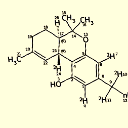 [2H]c1c(O)c2c(c([2H])c1C([2H])([2H])CCCC)OC(C)(C)[C@@H]1CCC(C)=C[C@@]21[2H]